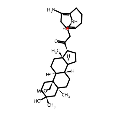 COC[C@]12CC[C@@](C)(O)C[C@]1(C)CC[C@H]1[C@@H]3CC[C@H](C(=O)CNN/C4=C(/N)C/C=C\CCC4)[C@@]3(C)CC[C@@H]12